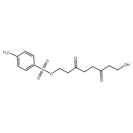 Cc1ccc(S(=O)(=O)OCCC(=O)CCC(=O)CCO)cc1